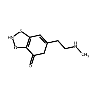 CNCCC1=CC2=C(ONS2)C(=O)C1